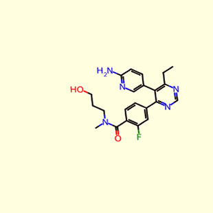 CCc1ncnc(-c2ccc(C(=O)N(C)CCCO)c(F)c2)c1-c1ccc(N)nc1